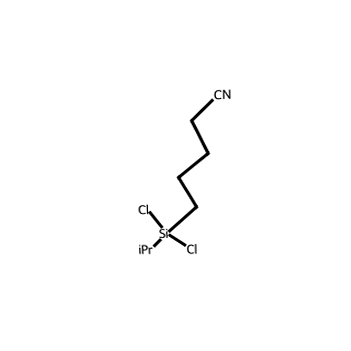 CC(C)[Si](Cl)(Cl)CCCCC#N